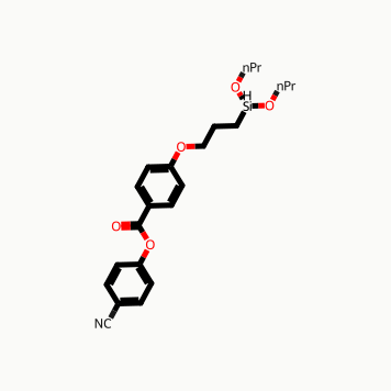 CCCO[SiH](CCCOc1ccc(C(=O)Oc2ccc(C#N)cc2)cc1)OCCC